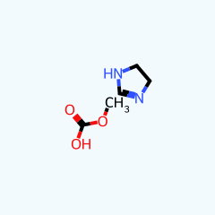 C1=NCCN1.COC(=O)O